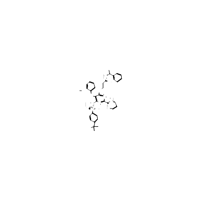 COc1ccccc1Oc1c(NS(=O)(=O)c2ccc(C(C)(C)C)cc2)nc(-c2ncccn2)nc1OCCC(=O)NC(C)c1ccccc1